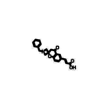 O=C(O)C=Cc1ccc2c(c1)C(=O)CC1(CN(Cc3ccccc3)C1)O2